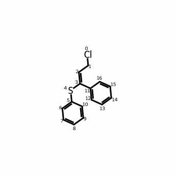 ClCC=C(Sc1ccccc1)c1ccccc1